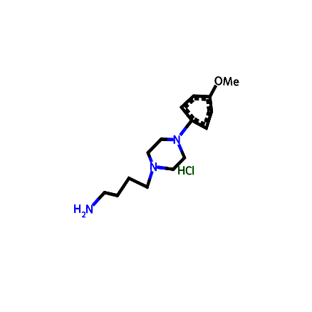 COc1ccc(N2CCN(CCCCN)CC2)cc1.Cl